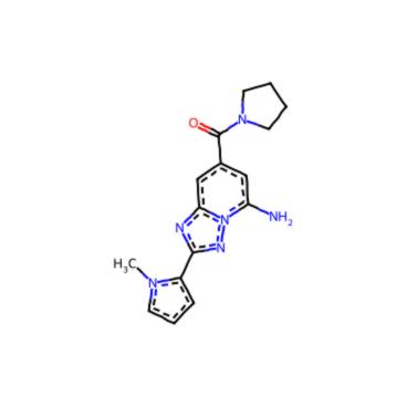 Cn1cccc1-c1nc2cc(C(=O)N3CCCC3)cc(N)n2n1